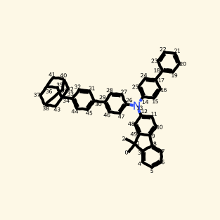 CC1(C)c2ccccc2-c2ccc(N(c3ccc(-c4ccccc4)cc3)c3ccc(-c4ccc(C56CC7CC(CC(C7)C5)C6)cc4)cc3)cc21